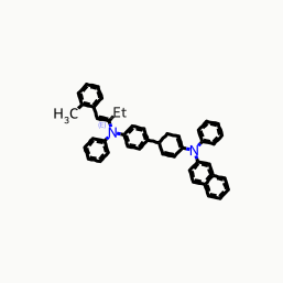 CC/C(=C\c1ccccc1C)N(c1ccccc1)c1ccc(C2C=CC(N(c3ccccc3)c3ccc4ccccc4c3)=CC2)cc1